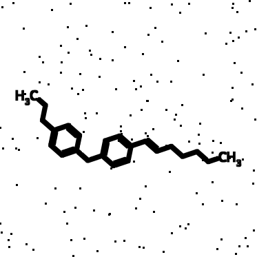 CCCCCC=Cc1ccc(Cc2ccc(CCC)cc2)cc1